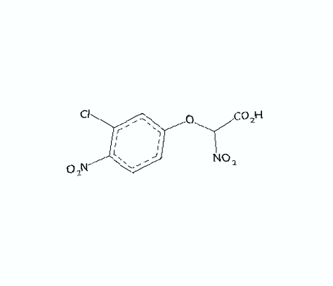 O=C(O)C(Oc1ccc([N+](=O)[O-])c(Cl)c1)[N+](=O)[O-]